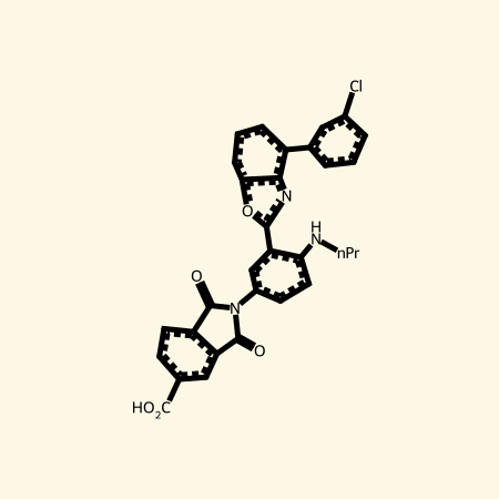 CCCNc1ccc(N2C(=O)c3ccc(C(=O)O)cc3C2=O)cc1-c1nc2c(-c3cccc(Cl)c3)cccc2o1